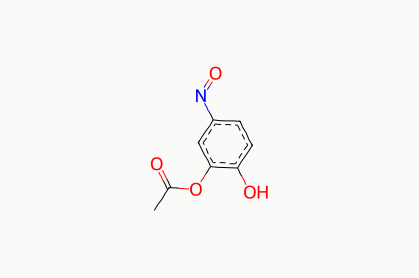 CC(=O)Oc1cc(N=O)ccc1O